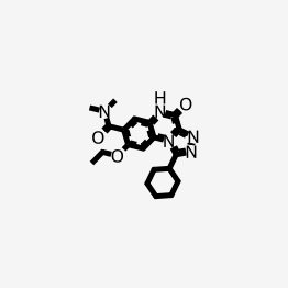 CCOc1cc2c(cc1C(=O)N(C)C)[nH]c(=O)c1nnc(C3CCCCC3)n12